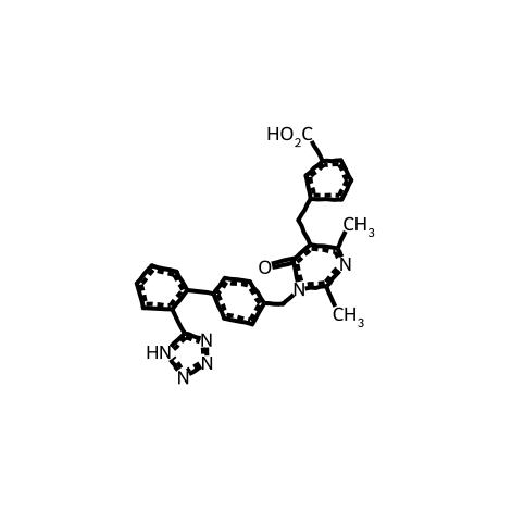 Cc1nc(C)n(Cc2ccc(-c3ccccc3-c3nnn[nH]3)cc2)c(=O)c1Cc1cccc(C(=O)O)c1